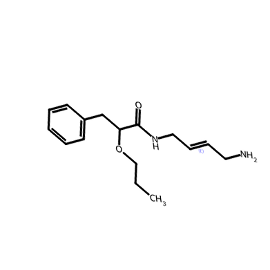 CCCOC(Cc1ccccc1)C(=O)NC/C=C/CN